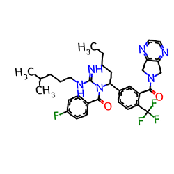 CCCCC(c1ccc(C(F)(F)F)c(C(=O)N2Cc3nccnc3C2)c1)N(C(=N)NCCCC(C)C)C(=O)c1ccc(F)cc1